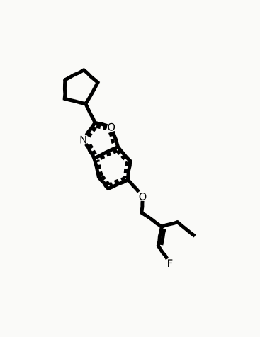 CC/C(=C\F)COc1ccc2nc(C3CCCC3)oc2c1